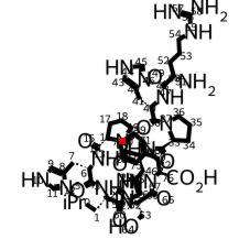 CC(C)C[C@H](NC(=O)[C@H](Cc1c[nH]cn1)NC(=O)[C@@H]1CCCN1C(=O)[C@H](Cc1c[nH]cn1)NC(=O)[C@@H]1CCCN1C(=O)[C@H](Cc1c[nH]cn1)NC(=O)[C@@H](N)CCCNC(=N)N)C(=O)N[C@@H](CO)C(=O)N[C@@H](Cc1ccccc1)C(=O)O